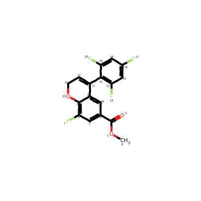 COC(=O)c1cc(F)c2c(c1)C(c1c(F)cc(F)cc1F)=CCO2